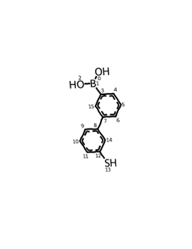 OB(O)c1cccc(-c2cccc(S)c2)c1